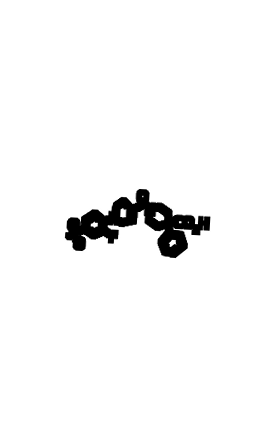 CS(=O)(=O)c1ccc(N2CCN(C(=O)N3CCC(C(=O)O)(c4ccccc4)CC3)CC2)c(F)c1